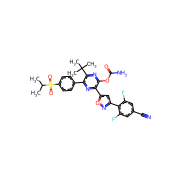 CC(C)S(=O)(=O)c1ccc(-c2nc(-c3cc(-c4c(F)cc(C#N)cc4F)no3)c(OC(N)=O)nc2C(C)(C)C)cc1